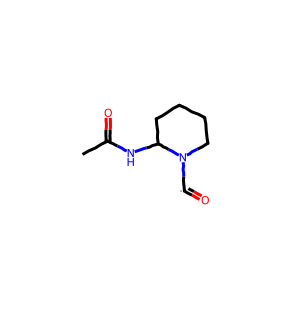 CC(=O)NC1CCCCN1[C]=O